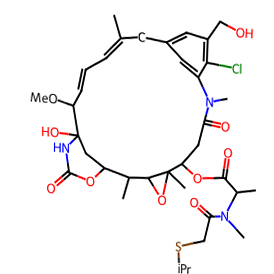 COC1/C=C/C=C(\C)Cc2cc(CO)c(Cl)c(c2)N(C)C(=O)CC(OC(=O)C(C)N(C)C(=O)CSC(C)C)C2(C)OC2C(C)C2CC1(O)NC(=O)O2